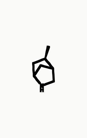 C[C@@H]1CC2CC1CN2